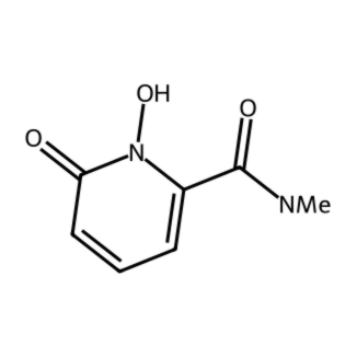 CNC(=O)c1cccc(=O)n1O